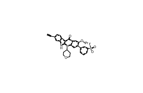 C#Cc1ccc2c(c1)[nH]c1c2c(=O)c2cc(OC(C)C)c(-c3cccc(S(=O)(=O)F)c3)cc2n1C1CCOCC1